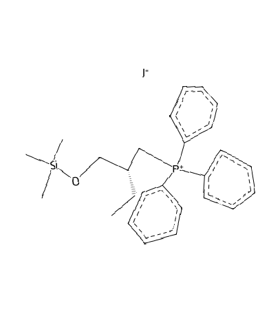 CC[C@H](CO[Si](C)(C)C)C[P+](c1ccccc1)(c1ccccc1)c1ccccc1.[I-]